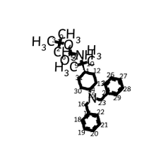 CC(C)(C)OC(=O)NC(C)(C)[C@H]1CC[C@H](N(Cc2ccccc2)Cc2ccccc2)CC1